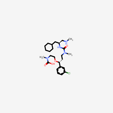 CNC[C@H](CC1CCCCC1)NC(=O)N(C)CC[C@@H](OCCN(C)C(=O)O)c1cccc(Cl)c1